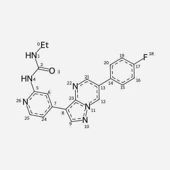 CCNC(=O)Nc1cc(-c2cnn3cc(-c4ccc(F)cc4)cnc23)ccn1